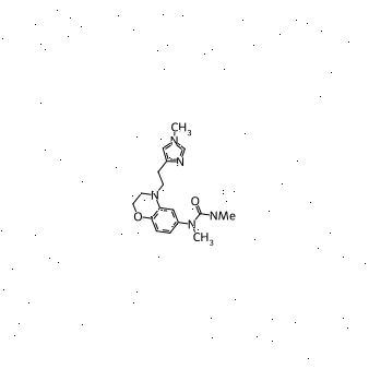 CNC(=O)N(C)c1ccc2c(c1)N(CCc1cn(C)cn1)CCO2